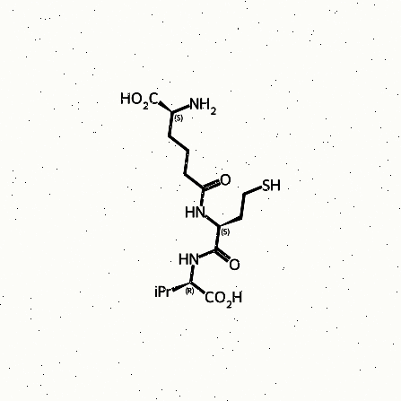 CC(C)[C@@H](NC(=O)[C@H](CCS)NC(=O)CCC[C@H](N)C(=O)O)C(=O)O